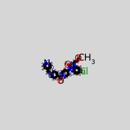 COCCn1c(=O)n(C2CCN(C(=O)C3CCN(Cc4ccncc4)CC3)CC2)c2ccc(Cl)cc21